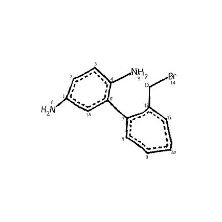 Nc1ccc(N)c(-c2ccccc2CBr)c1